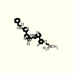 CN(C)CCOc1cc(F)cc(-c2ccnc3[nH]c(-c4n[nH]c5ncc(-c6cncc(NC(=O)Cc7ccccc7)c6)cc45)cc23)c1